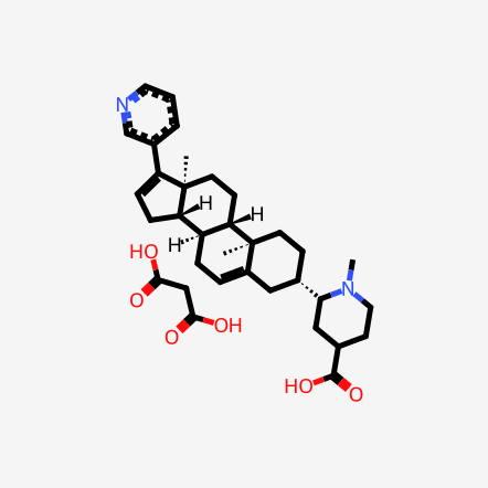 CN1CCC(C(=O)O)CC1[C@H]1CC[C@@]2(C)C(=CC[C@@H]3[C@@H]2CC[C@]2(C)C(c4cccnc4)=CC[C@@H]32)C1.O=C(O)CC(=O)O